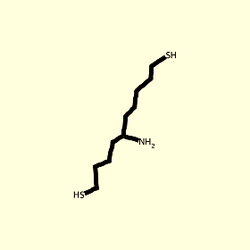 NC(CCCCS)CCCCCS